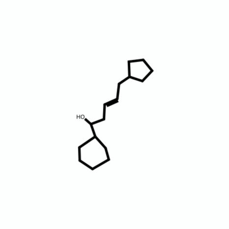 OC(C/C=C/CC1CCCC1)C1CCCCC1